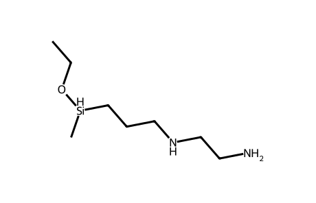 CCO[SiH](C)CCCNCCN